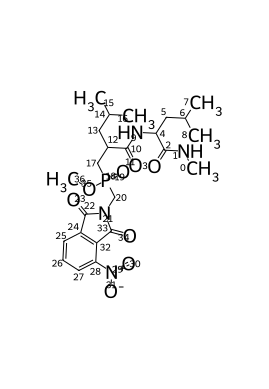 CNC(=O)C(CC(C)C)NC(=O)C(CC(C)C)CP(=O)(CN1C(=O)c2cccc([N+](=O)[O-])c2C1=O)OC